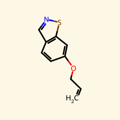 C=CCOc1ccc2cnsc2c1